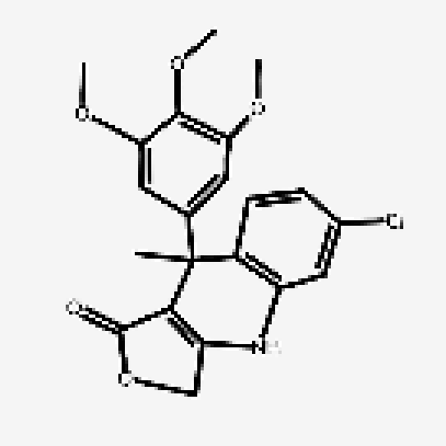 COc1cc(C2(C)C3=C(COC3=O)Nc3cc(Cl)ccc32)cc(OC)c1OC